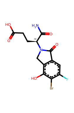 NC(=O)[C@H](CCC(=O)O)N1Cc2c(cc(F)c(Br)c2O)C1=O